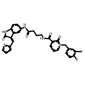 O=C(CCCNC(=O)c1cccn(Cc2ccc(F)c(F)c2)c1=O)Nc1ccc2c(c1)/C(=C/c1cccs1)C(=O)N2